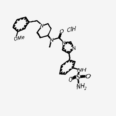 COc1cccc(CN2CCC(N(C)C(=O)n3cnc(-c4cccc(NS(N)(=O)=O)c4)c3)CC2)c1.Cl